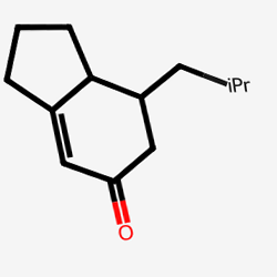 CC(C)CC1CC(=O)C=C2CCCC21